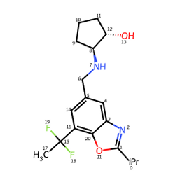 CC(C)c1nc2cc(CN[C@H]3CCC[C@@H]3O)cc(C(C)(F)F)c2o1